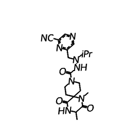 CC1NC(=O)C2(CCN(C(=O)NN(Cc3cncc(C#N)n3)C(C)C)CC2)N(C)C1=O